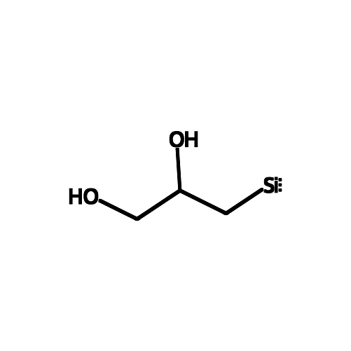 OCC(O)C[Si]